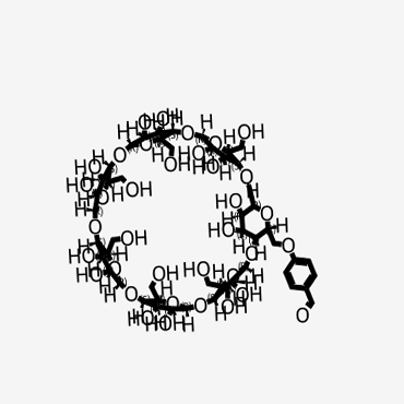 O=Cc1ccc(OC[C@H]2O[C@@H]3O[C@H]4[C@H](O)[C@@H](O)[C@@H](O[C@H]5[C@H](O)[C@@H](O)[C@@H](O[C@H]6[C@H](O)[C@@H](O)[C@@H](O[C@H]7[C@H](O)[C@@H](O)[C@@H](O[C@H]8[C@H](O)[C@@H](O)[C@@H](O[C@H]9[C@H](O)[C@@H](O)[C@@H](O[C@H]2[C@H](O)[C@H]3O)O[C@@H]9CO)O[C@@H]8CO)O[C@@H]7CO)O[C@@H]6CO)O[C@@H]5CO)O[C@@H]4CO)cc1